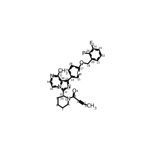 CC#CC(=O)N1CCCC[C@H]1c1nc(-c2ccc(OCc3cccc(F)c3F)cc2)c2c(C)nccn12